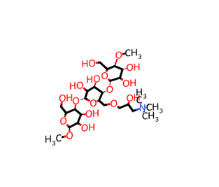 CO[C@H]1OC(CO)[C@@H](O[C@H]2OC(COCC(O)C[N+](C)(C)C)[C@@H](O[C@@H]3OC(CO)[C@@H](OC)[C@H](O)C3O)[C@H](O)C2O)[C@@H](O)C1O